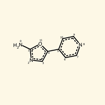 Nc1ncc(-c2ccncc2)o1